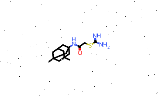 CC12CC3CC(C)(C1)CC(NC(=O)CSC(=N)N)(C3)C2